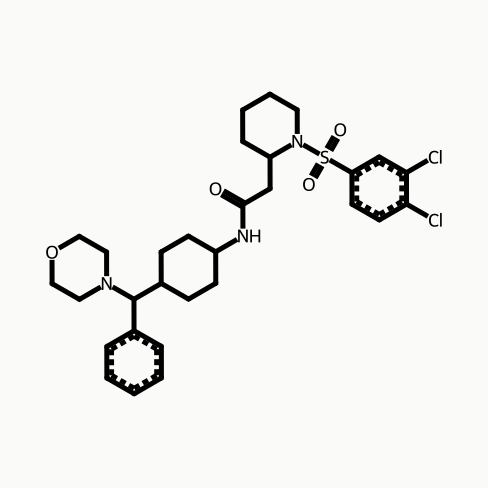 O=C(CC1CCCCN1S(=O)(=O)c1ccc(Cl)c(Cl)c1)NC1CCC(C(c2ccccc2)N2CCOCC2)CC1